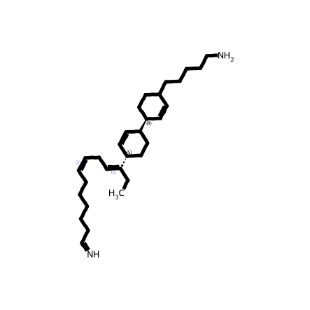 CC/C(=C/C/C=C\CCCCCC=N)[C@@H]1C=CC([C@@H]2C=CC(CCCCCN)CC2)CC1